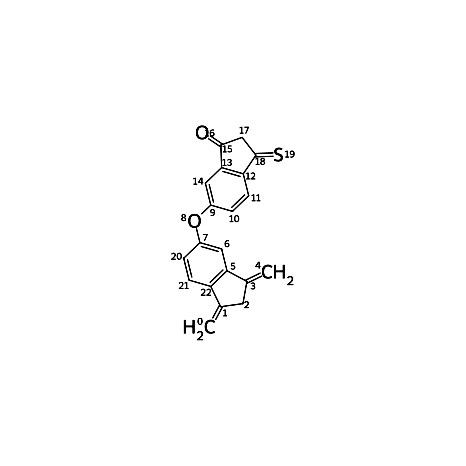 C=C1CC(=C)c2cc(Oc3ccc4c(c3)C(=O)CC4=S)ccc21